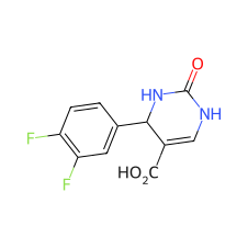 O=C1NC=C(C(=O)O)C(c2ccc(F)c(F)c2)N1